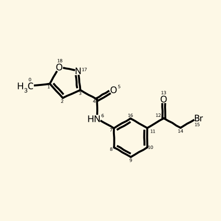 Cc1cc(C(=O)Nc2cccc(C(=O)CBr)c2)no1